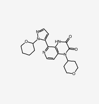 O=c1[nH]c2c(-c3ccnn3C3CCCCO3)nccc2n(C2CCOCC2)c1=O